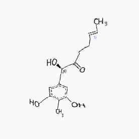 C/C=C/CCC(=O)[C@H](O)c1cc(O)c(C)c(O)c1